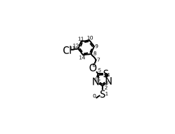 CSc1nsc(OCc2cccc(Cl)c2)n1